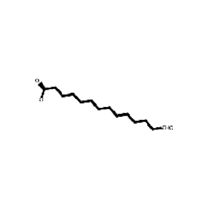 O=CCCCCCCCCCCCCC(=O)Cl